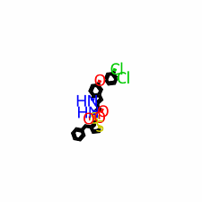 O=C(NS(=O)(=O)c1sccc1Cc1ccccc1)c1cc2cc(Oc3ccc(Cl)c(Cl)c3)ccc2[nH]1